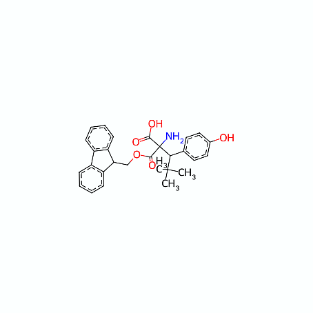 CC(C)(C)C(c1ccc(O)cc1)C(N)(C(=O)O)C(=O)OCC1c2ccccc2-c2ccccc21